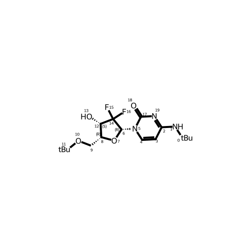 CC(C)(C)Nc1ccn([C@@H]2O[C@H](COC(C)(C)C)[C@H](O)C2(F)F)c(=O)n1